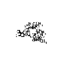 CC(=O)NNC(=O)[C@@H](CCCOc1ccc(Cl)c(Cl)c1Cn1cnc2c(NC(=O)OC(C)(C)C)ncnc21)NC(=O)OC(C)(C)C